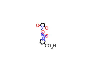 O=C(O)C1CCCN(/[N+]([O-])=N/OCN2C(=O)CCC2=O)C1